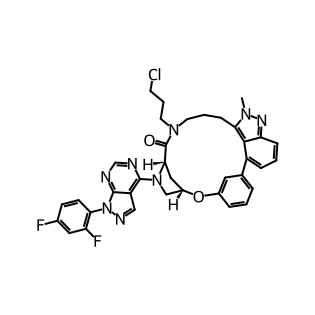 Cn1nc2cccc3c2c1CCCN(CCCCl)C(=O)[C@@H]1C[C@@H](CN1c1ncnc2c1cnn2-c1ccc(F)cc1F)Oc1cccc-3c1